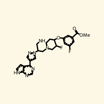 COC(=O)c1cc(F)cc(OC2CCN(CC(CN)n3cc(-c4ncnc5[nH]ccc45)cn3)CC2F)c1